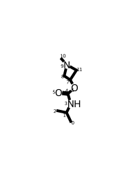 CC(C)NC(=O)OC1CN(C)C1